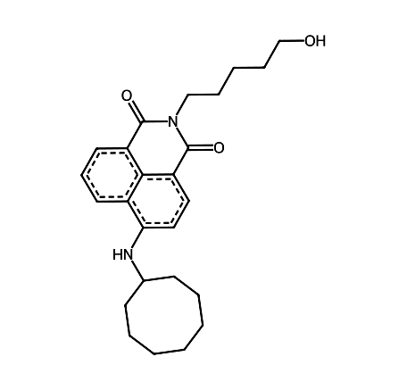 O=C1c2cccc3c(NC4CCCCCCC4)ccc(c23)C(=O)N1CCCCCO